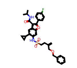 C=C(CCS(=O)(=O)Nc1cc2oc(-c3ccc(F)cc3)c(C(=O)NC(C)C)c2cc1C1CC1)COCc1ccccc1